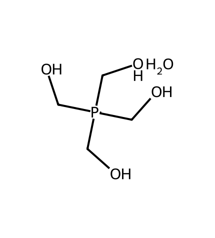 O.OC[P](CO)(CO)CO